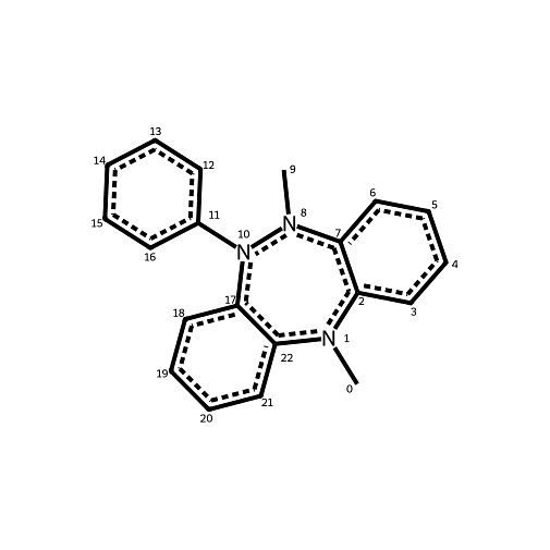 Cn1c2ccccc2n(C)n(-c2ccccc2)c2ccccc21